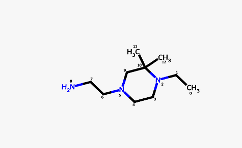 CCN1CCN(CCN)CC1(C)C